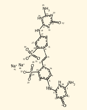 Nc1nc(=O)nc(Nc2ccc(C=Cc3ccc(Nc4nc(=O)nc(N)[nH]4)cc3S(=O)(=O)[O-])c(S(=O)(=O)[O-])c2)[nH]1.[Na+].[Na+]